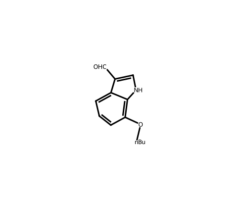 CCCCOc1cccc2c(C=O)c[nH]c12